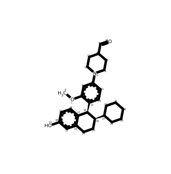 COc1cc(N2CCC(C=O)CC2)ccc1[C@@H]1c2ccc(O)cc2CC[C@@H]1C1CCCCC1